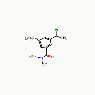 CCCN(CCC)C(=O)c1cc(C(=O)OCC)cc(C(C)Br)c1